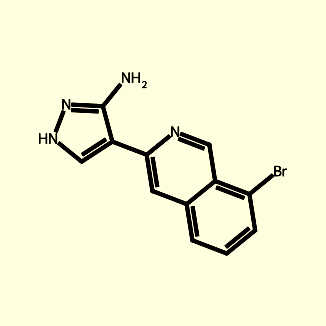 Nc1n[nH]cc1-c1cc2cccc(Br)c2cn1